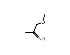 COCC(C)=N